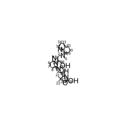 CN(Cc1nc2cccc(N3CC[C@@H](C(NC(=O)O)C(C)(C)C)C3)n2c1CO)[C@H]1CCCc2cccnc21